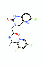 CC(NC(=O)CN1Cc2nc(F)ccc2NC1=O)c1ncc(F)cc1F